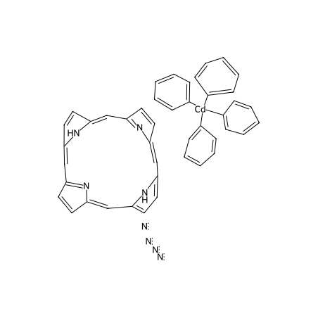 C1=Cc2cc3ccc(cc4nc(cc5ccc(cc1n2)[nH]5)C=C4)[nH]3.[N].[N].[N].[N].c1cc[c]([Cd]([c]2ccccc2)([c]2ccccc2)[c]2ccccc2)cc1